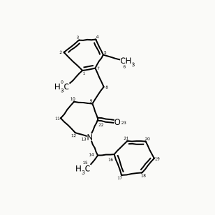 Cc1cccc(C)c1CC1CCCN(C(C)c2ccccc2)C1=O